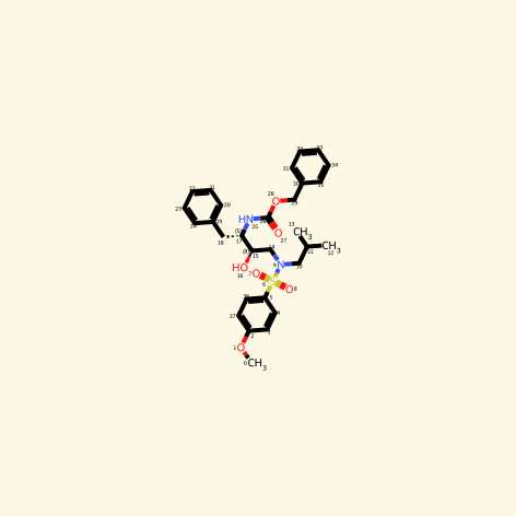 COc1ccc(S(=O)(=O)N(CC(C)C)C[C@@H](O)[C@H](Cc2ccccc2)NC(=O)OCc2ccccc2)cc1